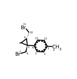 Cc1ccc([C@]2(CBr)C[C@@H]2CBr)cc1